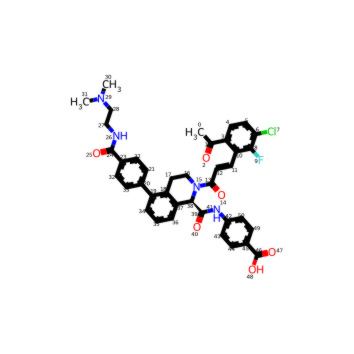 CC(=O)c1ccc(Cl)c(F)c1/C=C/C(=O)N1CCc2c(-c3ccc(C(=O)NCCN(C)C)cc3)cccc2[C@@H]1C(=O)Nc1ccc(C(=O)O)cc1